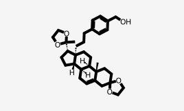 CC1([C@H]2CC[C@H]3[C@@H]4CC=C5CC6(CC[C@@]5(C)[C@@H]4CC[C@]23CCCc2ccc(CO)cc2)OCCO6)OCCO1